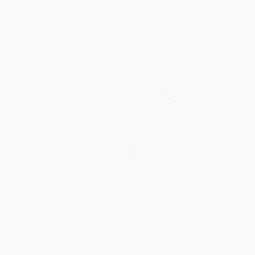 Cn1[nH]c2c(Cc3ccc(F)c(F)c3)cc([N+](=O)[O-])cc2c1=O